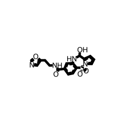 O=C(NCCc1cnco1)c1ccc2c(c1)NC(O)c1cccn1S2(=O)=O